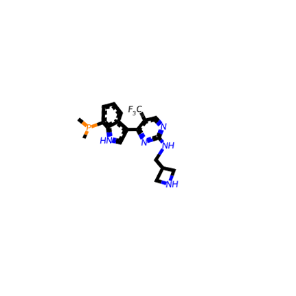 CP(C)c1cccc2c(-c3nc(NCC4CNC4)ncc3C(F)(F)F)c[nH]c12